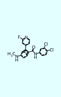 CNc1cc2oc1c(-c1ccnc(F)c1)c2C(=O)Nc1ccc(Cl)c(Cl)c1